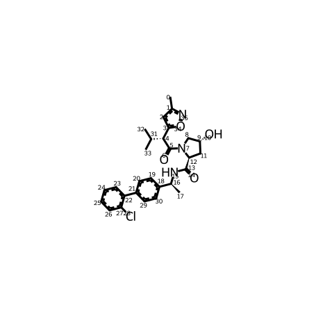 Cc1cc([C@H](C(=O)N2C[C@H](O)C[C@H]2C(=O)N[C@@H](C)c2ccc(-c3ccccc3Cl)cc2)C(C)C)on1